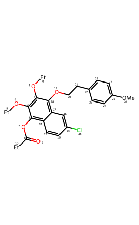 CCOc1c(OCC)c(OC(=O)CC)c2ccc(Cl)cc2c1OCCc1ccc(OC)cc1